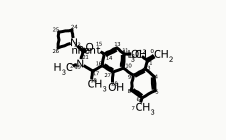 C=C(C)c1ccc(C)cc1-c1c(O)cc(CCCCC)c(C(C)N(C)C(=O)N2CCC2)c1O